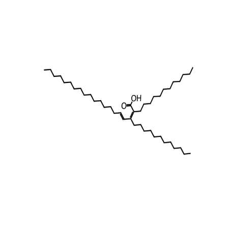 CCCCCCCCCCCCCCCC=CC(CCCCCCCCCCCC)=C(CCCCCCCCCCCC)C(=O)O